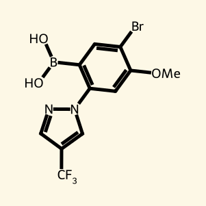 COc1cc(-n2cc(C(F)(F)F)cn2)c(B(O)O)cc1Br